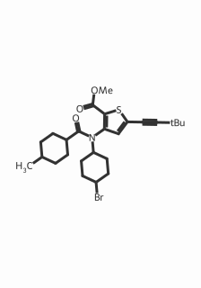 COC(=O)c1sc(C#CC(C)(C)C)cc1N(C(=O)C1CCC(C)CC1)C1CCC(Br)CC1